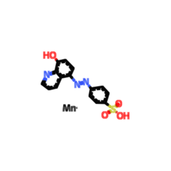 O=S(=O)(O)c1ccc(N=Nc2ccc(O)c3ncccc23)cc1.[Mn]